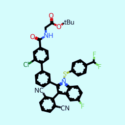 CC(C)(C)OC(=O)CNC(=O)c1ccc(-c2cccc(-c3c(-c4c(C#N)cccc4C#N)c4cc(F)ccc4n3Sc3ccc(C(F)F)cc3)c2)c(Cl)c1